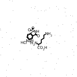 Cl.NCCCC[C@H](N)C(=O)O.O=C1NS(=O)(=O)c2ccccc21.[NaH]